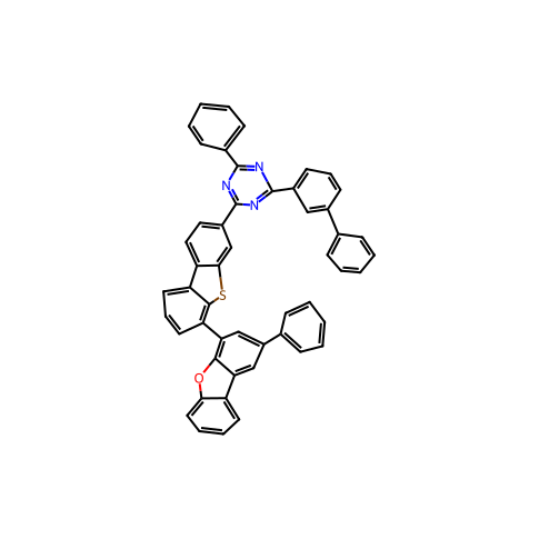 c1ccc(-c2cccc(-c3nc(-c4ccccc4)nc(-c4ccc5c(c4)sc4c(-c6cc(-c7ccccc7)cc7c6oc6ccccc67)cccc45)n3)c2)cc1